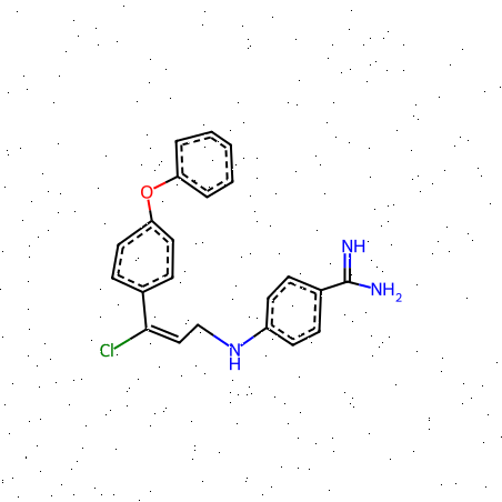 N=C(N)c1ccc(NC/C=C(/Cl)c2ccc(Oc3ccccc3)cc2)cc1